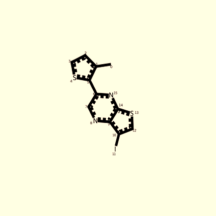 Cc1ccsc1-c1cnc2c(I)csc2n1